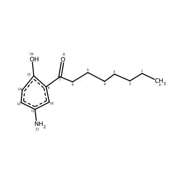 CCCCCCCC(=O)c1cc(N)ccc1O